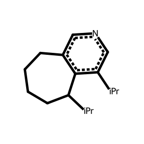 CC(C)c1cncc2c1C(C(C)C)CCCC2